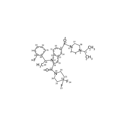 CC(C)N1CCN(C(=O)c2ccc3c(c2)cc(C(=O)N2CCC(F)(F)CC2)n3C(C)c2ccccc2F)CC1